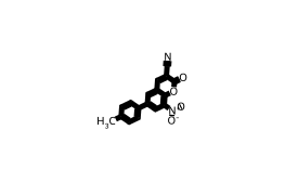 Cc1ccc(-c2cc([N+](=O)[O-])c3oc(=O)c(C#N)cc3c2)cc1